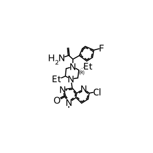 C=C(N)C(c1ccc(F)cc1)N1CC(CC)N(c2nc(=O)n(C)c3ccc(Cl)nc23)C[C@H]1CC